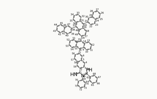 N=C(c1ccc2cc(-c3c4ccccc4c(-c4ccc5c(-c6ccc7ccccc7c6)c6ccccc6c(-c6ccc7ccccc7c6)c5c4)c4ccccc34)ccc2c1)N(C(=P)c1ccccc1)c1ccccc1